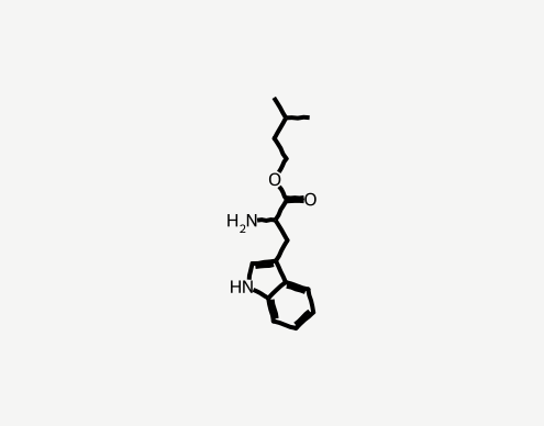 CC(C)CCOC(=O)C(N)Cc1c[nH]c2ccccc12